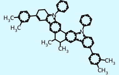 Cc1ccc(C2=Cc3c(n(-c4ccccc4)c4cc5c(cc34)C(C)C(C)c3cc4c6cc(-c7ccc(C)c(C)c7)ccc6n(-c6ccccc6)c4cc3-5)CC2)cc1C